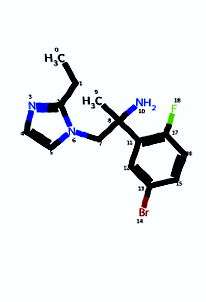 CCc1nccn1CC(C)(N)c1cc(Br)ccc1F